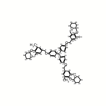 Cc1cc(COc2ccc([S+](c3ccc(OCc4cc(C)c(OC5CCCCO5)c(I)c4)cc3)c3ccc(OCc4cc(I)c(OC5CCCCO5)c(I)c4)cc3)cc2)cc(I)c1OC1CCCCO1